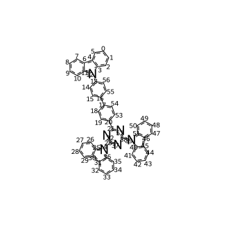 c1ccc2c(c1)c1ccccc1n2-c1ccc(-c2ccc(-c3nc(-n4c5ccccc5c5ccccc54)nc(-n4c5ccccc5c5ccccc54)n3)cc2)cc1